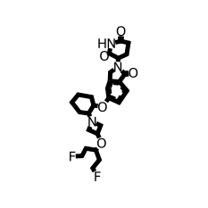 O=C1CCC(N2Cc3cc(OC4CCCCC4N4CC(OC(CCF)CCF)C4)ccc3C2=O)C(=O)N1